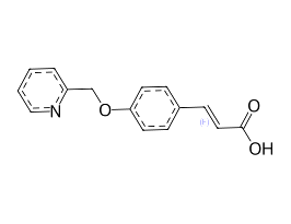 O=C(O)/C=C/c1ccc(OCc2ccccn2)cc1